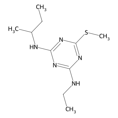 CCNc1nc(NC(C)CC)nc(SC)n1